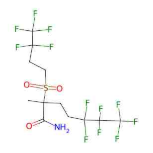 CC(CCC(F)(F)C(F)(F)C(F)(F)F)(C(N)=O)S(=O)(=O)CCC(F)(F)C(F)(F)F